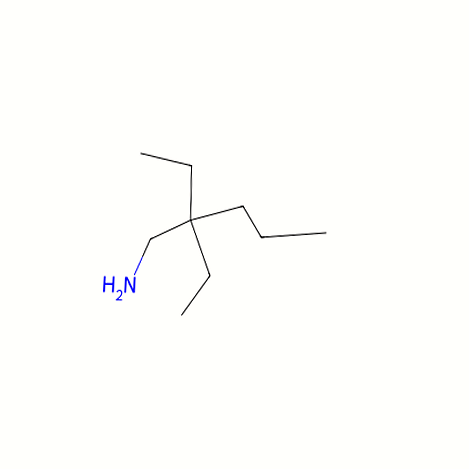 CCCC(CC)(CC)CN